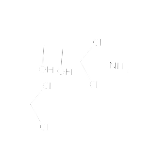 CO.CO.ClCCl.ClCCl.N